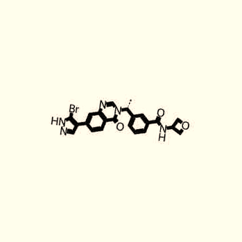 C[C@H](c1cccc(C(=O)NC2COC2)c1)n1cnc2cc(-c3cn[nH]c3Br)ccc2c1=O